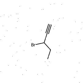 [C]#CC(Br)CC